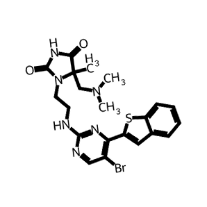 CN(C)CC1(C)C(=O)NC(=O)N1CCNc1ncc(Br)c(-c2cc3ccccc3s2)n1